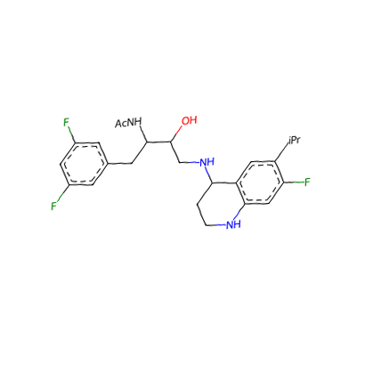 CC(=O)NC(Cc1cc(F)cc(F)c1)C(O)CNC1CCNc2cc(F)c(C(C)C)cc21